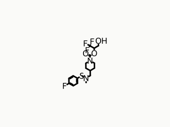 CN(CC1CCN(C(=O)OC(CO)C(F)(F)F)CC1)Sc1ccc(F)cc1